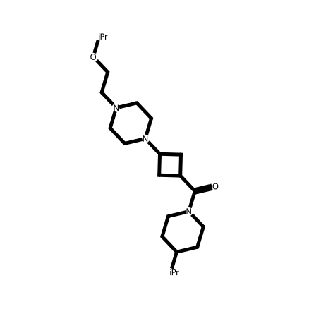 CC(C)OCCN1CCN(C2CC(C(=O)N3CCC(C(C)C)CC3)C2)CC1